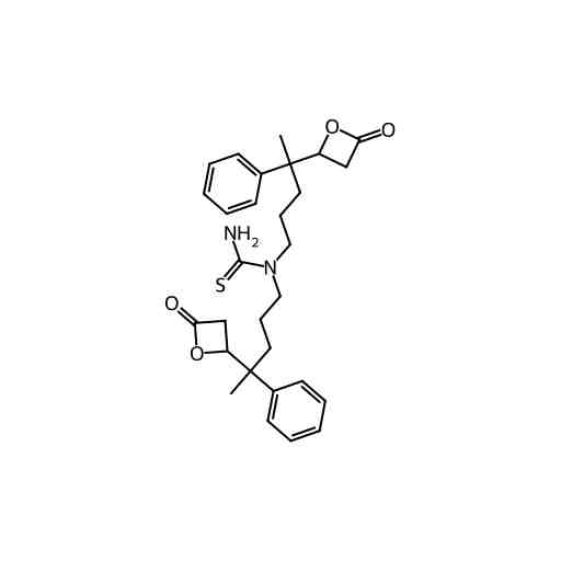 CC(CCCN(CCCC(C)(c1ccccc1)C1CC(=O)O1)C(N)=S)(c1ccccc1)C1CC(=O)O1